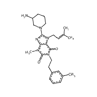 CC(C)=CCn1c(N2CCCC(N)C2)nc2c1c(=O)n(CCc1cccc(C)c1)c(=O)n2C